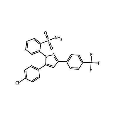 NS(=O)(=O)c1ccccc1-n1nc(-c2ccc(C(F)(F)F)cc2)cc1-c1ccc(Cl)cc1